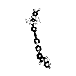 CC1(C)[C@H](NC(=O)c2ccc(C#CC3CCN(C4CCN(c5ccc6c(c5)C(=O)N(C5CCC(=O)NC5=O)C6=O)CC4)CC3)nc2)C(C)(C)[C@H]1Oc1ccc(C#N)c(Cl)c1